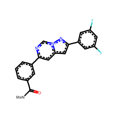 CNC(=O)c1cccc(-c2cc3cc(-c4cc(F)cc(F)c4)nn3cn2)c1